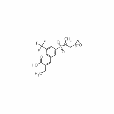 CCC(=Cc1cc(C(F)(F)F)cc(S(=O)(=O)N(C)C[C@H]2CO2)c1)C(=O)O